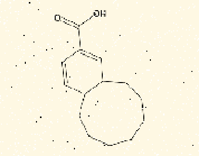 O=C(O)C1=CC2CCCCCCCC2C=C1